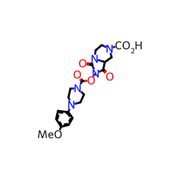 COc1ccc(N2CCN(C(=O)ON3C(=O)C4CN(C(=O)O)CCN4C3=O)CC2)cc1